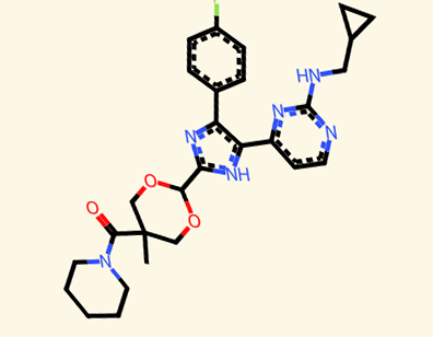 CC1(C(=O)N2CCCCC2)COC(c2nc(-c3ccc(F)cc3)c(-c3ccnc(NCC4CC4)n3)[nH]2)OC1